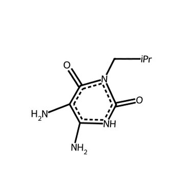 CC(C)Cn1c(=O)[nH]c(N)c(N)c1=O